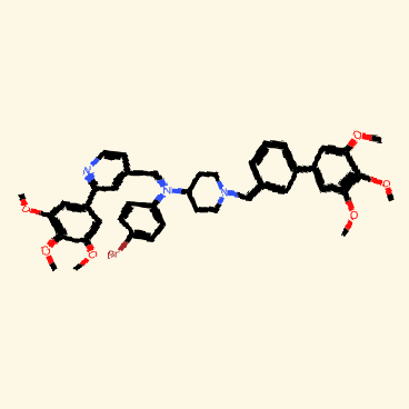 COc1cc(-c2cccc(CN3CCC(N(Cc4ccnc(-c5cc(OC)c(OC)c(OC)c5)c4)c4ccc(Br)cc4)CC3)c2)cc(OC)c1OC